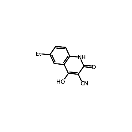 CCc1ccc2[nH]c(=O)c(C#N)c(O)c2c1